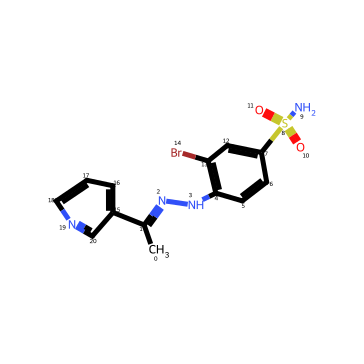 C/C(=N\Nc1ccc(S(N)(=O)=O)cc1Br)c1cccnc1